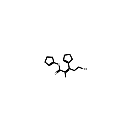 CC(C(=O)OC1=CCCC1)=C(CCO)C1=CCCC1